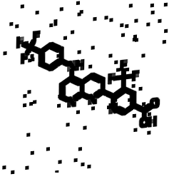 O=C(O)c1cnc(-c2ccc3c(Nc4ccc(C(F)(F)F)cc4)ccnc3n2)c(C(F)(F)F)c1